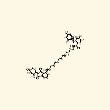 O=C1CCC(N2C(=O)c3cccc(NCCCCCCCCNCCCONC(=O)c4ccc(F)c(F)c4Nc4ccc(I)cc4F)c3C2=O)C(=O)N1